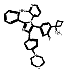 NC1(c2ccc(-c3c(-c4ccc(N5CCOCC5)cc4)nc4n3-c3cccnc3Nc3ccccc3-4)cc2F)CCC1